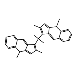 CC1=C(C(C)(C)C2=C(C)C=C3C2=Cc2ccccc2C3C)C2=Cc3ccccc3C(C)C2=C1